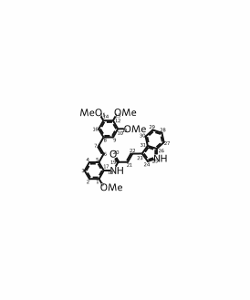 COc1cccc(C=Cc2cc(OC)c(OC)c(OC)c2)c1NC(=O)/C=C/c1c[nH]c2ccccc12